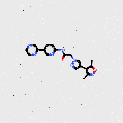 Cc1noc(C)c1-c1cnn(CC(=O)Nc2ccc(-c3cnccn3)cn2)c1